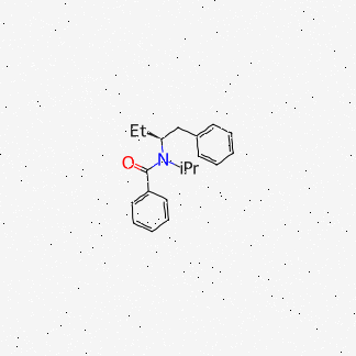 [CH2]C[C@@H](Cc1ccccc1)N(C(=O)c1ccccc1)C(C)C